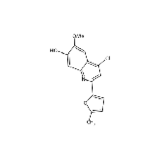 COc1cc2c(Cl)cc(-c3ccc(C)o3)nc2cc1O